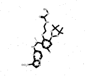 CCOC(=O)c1cnn2ccc(N[C@H](C)c3cc(F)cc(B4OC(C)(C)C(C)(C)O4)c3OCCNC(=O)OC(C)(C)C)nc12